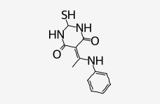 CC(Nc1ccccc1)=C1C(=O)NC(S)NC1=O